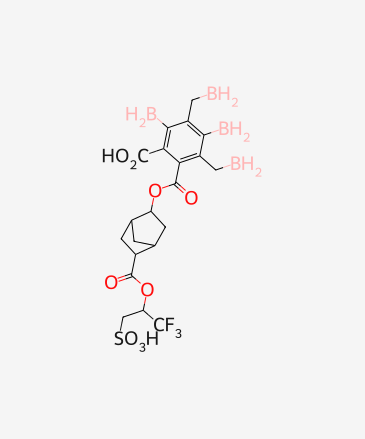 BCc1c(B)c(CB)c(C(=O)OC2CC3CC2CC3C(=O)OC(CS(=O)(=O)O)C(F)(F)F)c(C(=O)O)c1B